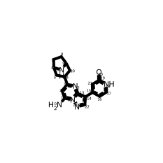 Nc1cc(C2CC3CCC(C2)N3)nc2c(-c3cc[nH]c(=O)c3)cnn12